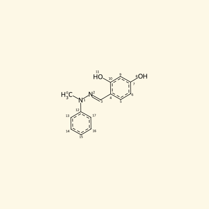 CN(N=Cc1ccc(O)cc1O)c1ccccc1